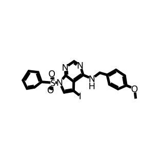 COc1ccc(CNc2ncnc3c2c(I)cn3S(=O)(=O)c2ccccc2)cc1